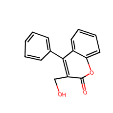 O=c1oc2ccccc2c(-c2ccccc2)c1CO